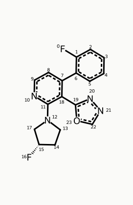 Fc1ccccc1-c1ccnc(N2CC[C@H](F)C2)c1-c1nnco1